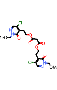 COCn1ncc(Cl)c(CCOC(=O)CC(=O)OCCc2c(Cl)cnn(COC)c2=O)c1=O